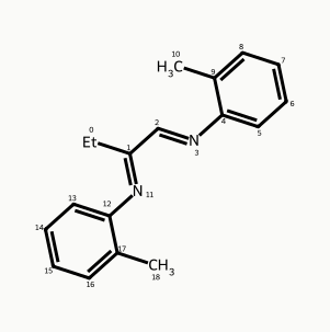 CCC(C=Nc1ccccc1C)=Nc1ccccc1C